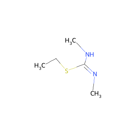 CCS/C(=N\C)NC